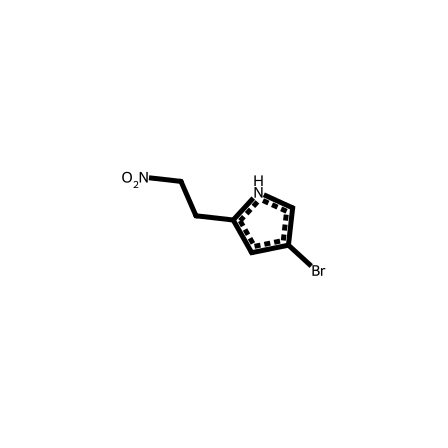 O=[N+]([O-])CCc1cc(Br)c[nH]1